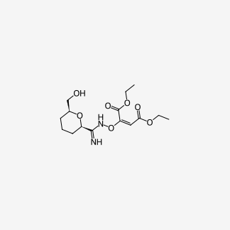 CCOC(=O)/C=C(/ONC(=N)[C@H]1CCC[C@@H](CO)O1)C(=O)OCC